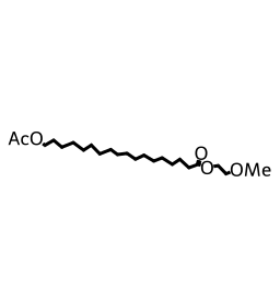 COCCOC(=O)CCCCCCCCCCCCCCCCCOC(C)=O